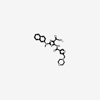 CN(c1ccc2ccccc2c1)c1nc(C(N)=O)c(NC(=O)c2csc(CN3CCOCC3)c2)s1